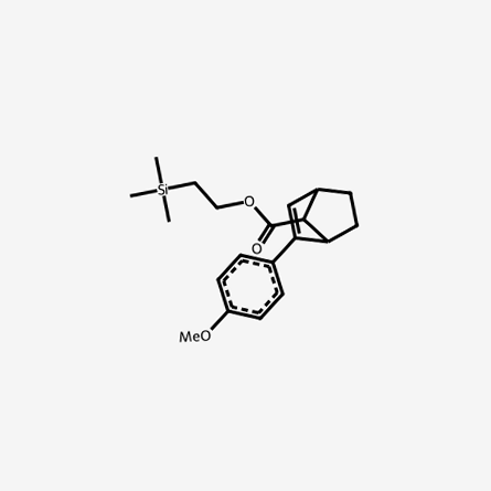 COc1ccc(C2=CC3CCC2C3C(=O)OCC[Si](C)(C)C)cc1